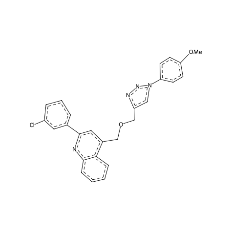 COc1ccc(-n2cc(COCc3cc(-c4cccc(Cl)c4)nc4ccccc34)nn2)cc1